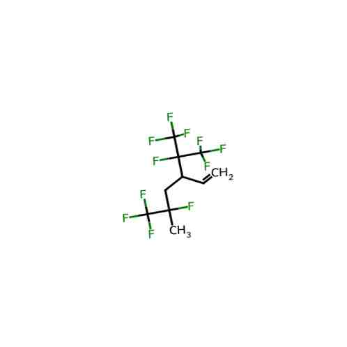 C=CC(CC(C)(F)C(F)(F)F)C(F)(C(F)(F)F)C(F)(F)F